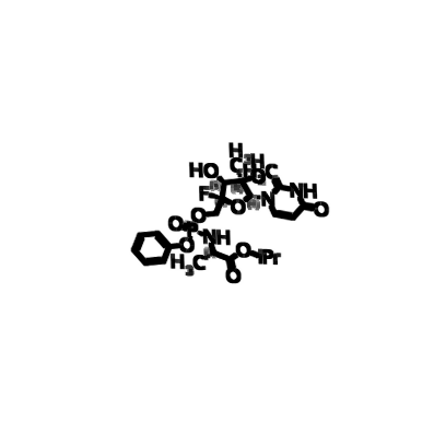 C=C1NC(=O)C=CN1[C@@H]1O[C@](F)(CO[P@](=O)(N[C@@H](C)C(=O)OC(C)C)Oc2ccccc2)[C@@H](O)[C@@]1(C)O